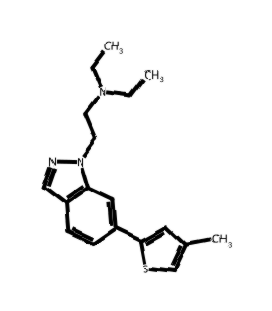 CCN(CC)CCn1ncc2ccc(-c3cc(C)cs3)cc21